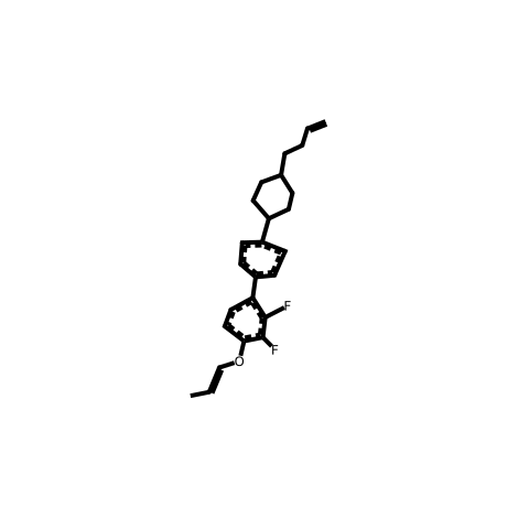 C=CCCC1CCC(c2ccc(-c3ccc(O/C=C/C)c(F)c3F)cc2)CC1